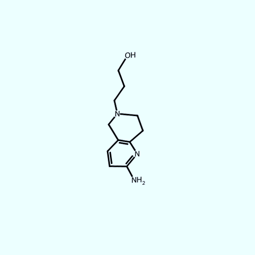 Nc1ccc2c(n1)CCN(CCCO)C2